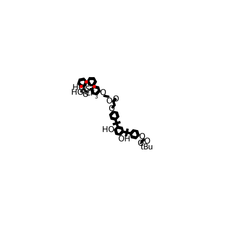 CC(C)(C)OC(=O)Oc1ccc(C(C)(C)c2cc(C(C)(C)c3ccc(OCC(=O)OCCOc4ccc(S(c5ccccc5)(c5ccccc5)(C(F)(F)F)=S(=O)(O)O)cc4)cc3)c(O)cc2O)cc1